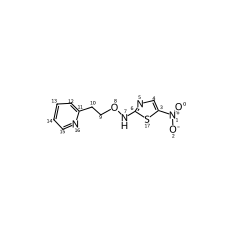 O=[N+]([O-])c1cnc(NOCCc2ccccn2)s1